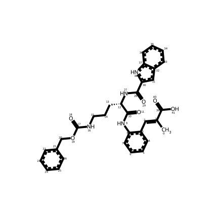 C/C(=C\c1ccccc1NC(=O)[C@H](CCCNC(=O)OCc1ccccc1)NC(=O)c1cc2ccccc2[nH]1)C(=O)O